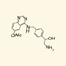 COc1ccc2ncnc(NCc3ccc(C(O)CN)cc3)c2c1